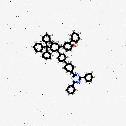 c1ccc(-c2nc(-c3ccccc3)nc(-c3ccc(-c4ccc(-c5cc6c(cc5-c5ccc7oc8ccccc8c7c5)-c5ccccc5C6(c5ccccc5)c5ccccc5)cc4)cc3)n2)cc1